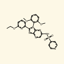 CCOc1cccc(-c2nc3ncc(NS(=O)(=O)c4ccncc4)nc3n2-c2c(OC)cccc2OC)n1